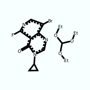 CCOC(OCC)OCC.O=c1c2c(F)ncc(Br)c2ncn1C1CC1